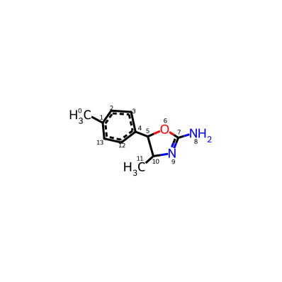 Cc1ccc(C2OC(N)=NC2C)cc1